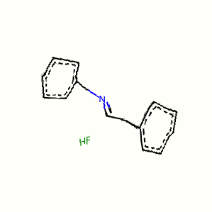 C(=Nc1ccccc1)c1ccccc1.F